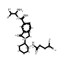 N=C(OC(N)C(F)F)c1ccc2c(c1)C(=O)N(C1CCCC[C@H]1NC(=O)CCC(F)F)C2